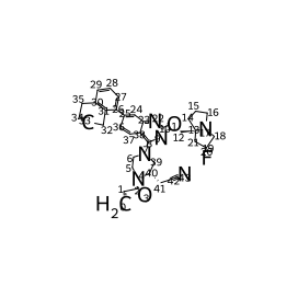 C=CC(=O)N1CCN(c2nc(OC[C@@]34CCCN3C[C@H](F)C4)nc3cc(-c4cccc5c4CCCC5)ccc23)C[C@@H]1CC#N